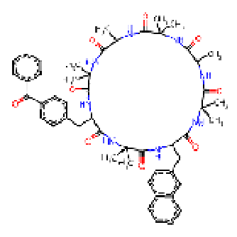 CC1NC(=O)C(C)(C)NC(=O)C(C)NC(=O)C(C)(C)NC(=O)C(Cc2ccc3ccccc3c2)NC(=O)C(C)(C)NC(=O)C(Cc2ccc(C(=O)c3ccccc3)cc2)NC(=O)C(C)(C)NC1=O